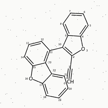 C#Cc1oc2ccccc2c1-c1cccc2oc3ccccc3c12